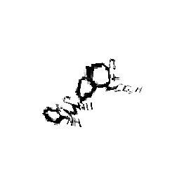 CN1C(=O)CCc2ccc(NC(=O)Cc3nc4ccccc4[nH]3)cc2C1CC(=O)O